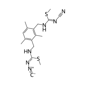 [C-]#[N+]N=C(NCc1c(C)cc(C)c(CNC(=NC#N)SC)c1C)SC